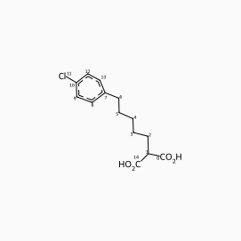 O=C(O)C(CCCCCc1ccc(Cl)cc1)C(=O)O